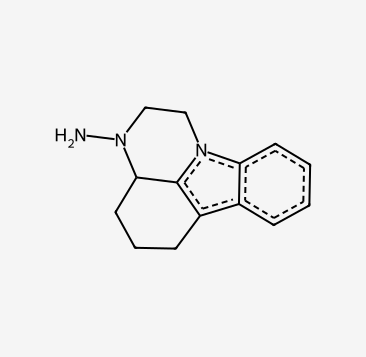 NN1CCn2c3c(c4ccccc42)CCCC31